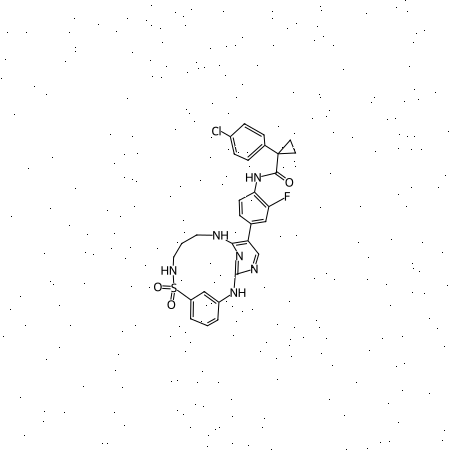 O=C(Nc1ccc(-c2cnc3nc2NCCCNS(=O)(=O)c2cccc(c2)N3)cc1F)C1(c2ccc(Cl)cc2)CC1